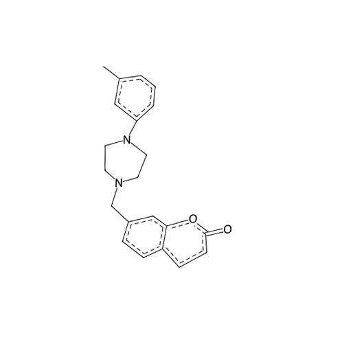 Cc1cccc(N2CCN(Cc3ccc4ccc(=O)oc4c3)CC2)c1